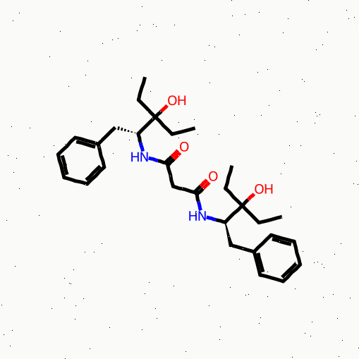 CCC(O)(CC)[C@@H](Cc1ccccc1)NC(=O)CC(=O)N[C@H](Cc1ccccc1)C(O)(CC)CC